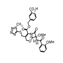 COc1ccccc1C(=O)N[C@]1(OC)C(=O)N2C(C(=O)OCc3cccc(C(=O)O)c3)=C(CSc3nnnn3C)CO[C@@H]21